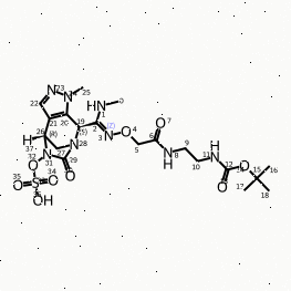 CN/C(=N\OCC(=O)NCCNC(=O)OC(C)(C)C)[C@@H]1c2c(cnn2C)[C@@H]2CN1C(=O)N2OS(=O)(=O)O